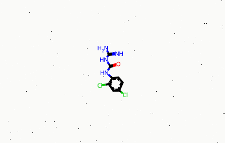 N=C(N)NC(=O)Nc1ccc(Cl)cc1Cl